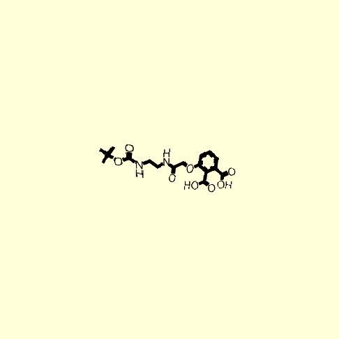 CC(C)(C)OC(=O)NCCNC(=O)COc1cccc(C(=O)O)c1C(=O)O